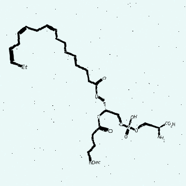 CC/C=C\C/C=C\C/C=C\CCCCCCCC(=O)OC[C@H](COP(=O)(O)OC[C@H](N)C(=O)O)OC(=O)CCCCCCCCCCCCC